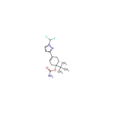 CC(C)(C)C1(OC(N)=O)CC=C(c2ccn(C(F)F)n2)CC1